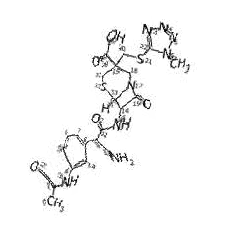 CC(=O)Nc1cccc(C(N)C(=O)NC2C(=O)N3CC(CSc4nnnn4C)(C(=O)O)CS[C@H]23)c1